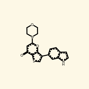 O=c1cc(N2CCOCC2)oc2c(-c3ccc4cc[nH]c4c3)csc12